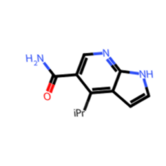 CC(C)c1c(C(N)=O)cnc2[nH]ccc12